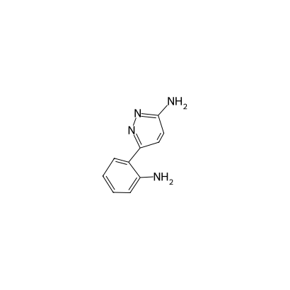 Nc1ccc(-c2ccccc2N)nn1